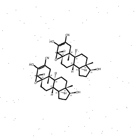 C[C@]12CC[C@H]3[C@@H](CC[C@@]45O[C@@H]4C(O)=C(C#N)C[C@]35C)[C@@H]1CC[C@@H]2O.C[C@]12CC[C@H]3[C@@H](CC[C@@]45O[C@@H]4C(O)=C(C#N)C[C@]35C)[C@@H]1CC[C@@H]2O